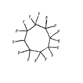 F[C]1C(F)(F)C(F)(F)C(F)(F)C(F)(F)C(F)(F)C(F)(F)C1(F)F